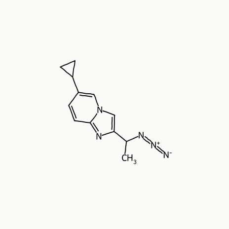 CC(N=[N+]=[N-])c1cn2cc(C3CC3)ccc2n1